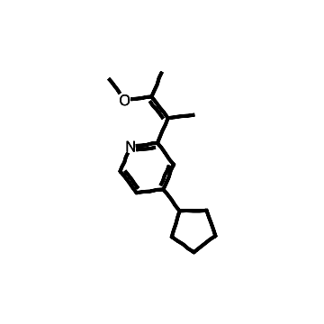 CO/C(C)=C(/C)c1cc(C2CCCC2)ccn1